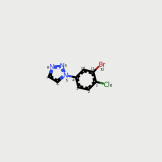 Clc1ccc(-n2ccnn2)cc1Br